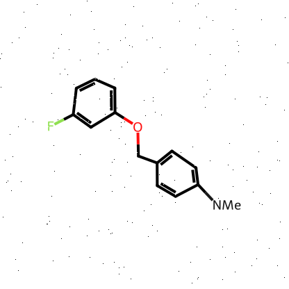 CNc1ccc(COc2cccc(F)c2)cc1